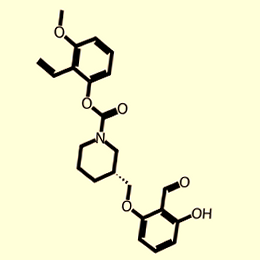 C=Cc1c(OC)cccc1OC(=O)N1CCC[C@@H](COc2cccc(O)c2C=O)C1